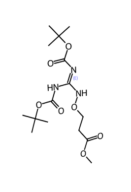 COC(=O)CCON/C(=N/C(=O)OC(C)(C)C)NC(=O)OC(C)(C)C